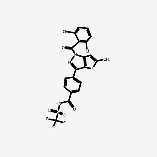 Cc1cc2c(s1)c(-c1ccc(C(=O)NS(=O)(=O)C(F)(F)F)cc1)nn2C(=O)c1c(Cl)cccc1Cl